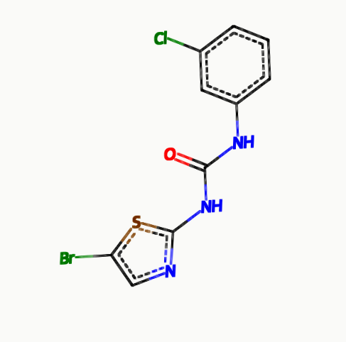 O=C(Nc1cccc(Cl)c1)Nc1ncc(Br)s1